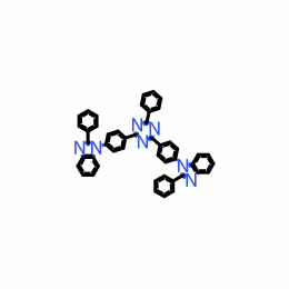 c1ccc(-c2nc(-c3ccc(-n4c(-c5ccccc5)nc5ccccc54)cc3)nc(-c3ccc(-n4c(-c5ccccc5)nc5ccccc54)cc3)n2)cc1